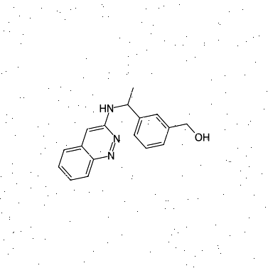 CC(Nc1cc2ccccc2nn1)c1cccc(CO)c1